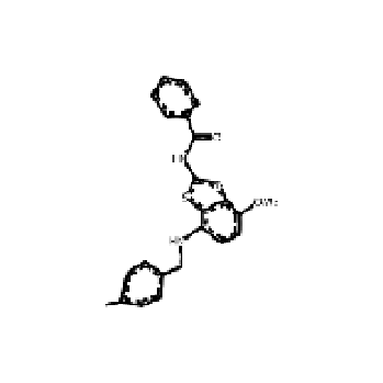 COc1ccc(NCc2ccc(C)cc2)c2sc(NC(=O)c3ccccc3)nc12